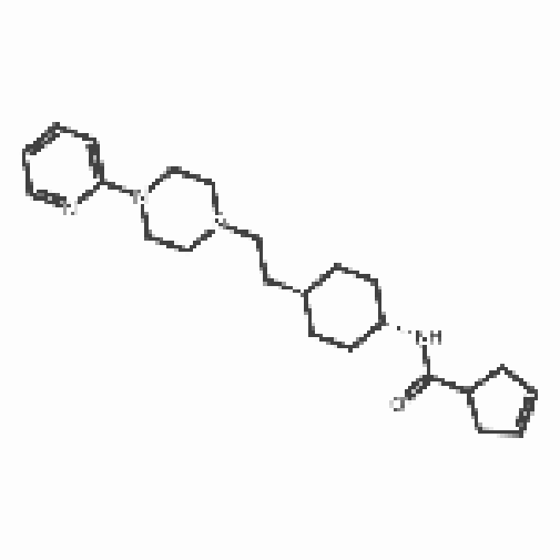 O=C(N[C@H]1CC[C@H](CCN2CCN(c3ccccn3)CC2)CC1)C1CC=CC1